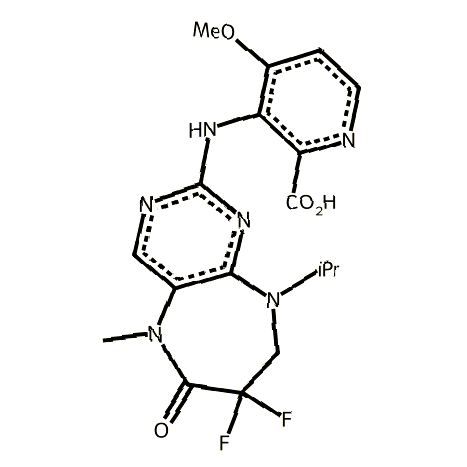 COc1ccnc(C(=O)O)c1Nc1ncc2c(n1)N(C(C)C)CC(F)(F)C(=O)N2C